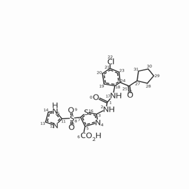 O=C(Nc1nc(C(=O)O)c(S(=O)(=O)c2ncc[nH]2)s1)Nc1ccc(Cl)cc1C(=O)C1CCCC1